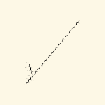 O=C(O)CCOCCOCCOCCOCCOCCOCCOCCOCCOCCOCCOCCOCCN(C[C@@H](O)[C@H](O)[C@@H](O)[C@@H](O)CO)C[C@@H](O)[C@H](O)[C@@H](O)[C@@H](O)CO